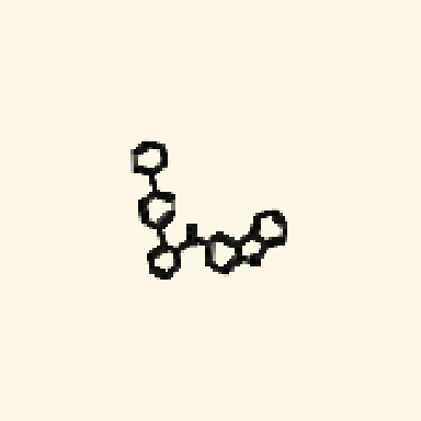 C1=CCCC(c2ccc(-c3ccccc3Nc3ccc4oc5ccccc5c4c3)cc2)=C1